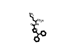 NCCCC(NC(=O)c1ccc(C(c2ccccc2)c2ccccc2)s1)C(=O)O